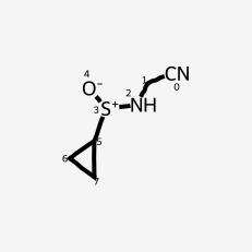 N#CCN[S+]([O-])C1CC1